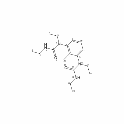 CCNC(=O)N(CC)c1cccc(N(CC)C(=O)NCC)c1C